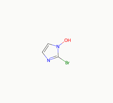 On1ccnc1Br